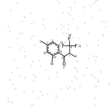 Cc1ccc(C(=O)C(C)C(F)(F)F)c(C)c1